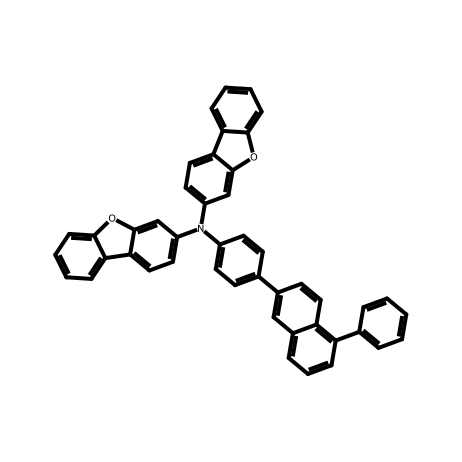 c1ccc(-c2cccc3cc(-c4ccc(N(c5ccc6c(c5)oc5ccccc56)c5ccc6c(c5)oc5ccccc56)cc4)ccc23)cc1